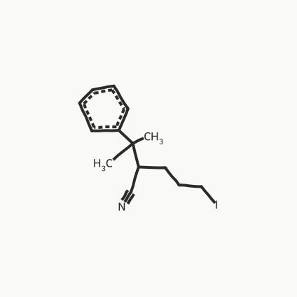 CC(C)(c1ccccc1)C(C#N)CCCI